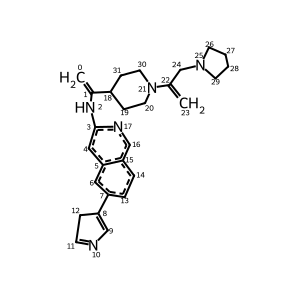 C=C(Nc1cc2cc(C3=CN=CC3)ccc2cn1)C1CCN(C(=C)CN2CCCC2)CC1